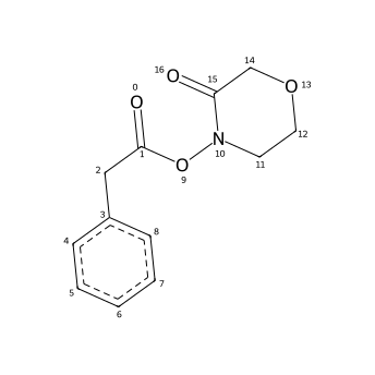 O=C(Cc1ccccc1)ON1CCOCC1=O